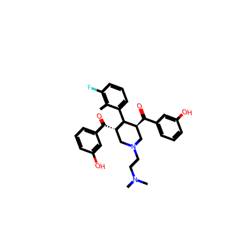 Cc1c(F)cccc1C1[C@@H](C(=O)c2cccc(O)c2)CN(CCN(C)C)C[C@@H]1C(=O)c1cccc(O)c1